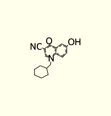 N#Cc1cn(CC2CCCCC2)c2ccc(O)cc2c1=O